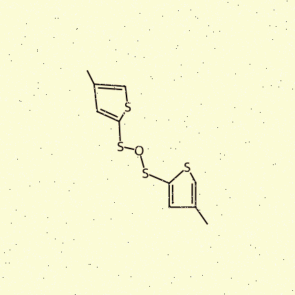 Cc1csc(SOSc2cc(C)cs2)c1